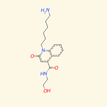 NCCCCCCn1c(=O)cc(C(=O)NCCO)c2ccccc21